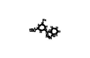 CC(C)(C)c1cc(F)cc(-n2nnc3ccccc32)c1